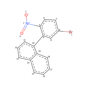 O=[N+]([O-])c1ccc(Br)cc1-c1cccc2ccccc12